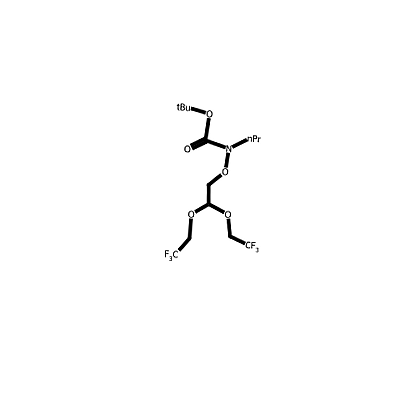 CCCN(OCC(OCC(F)(F)F)OCC(F)(F)F)C(=O)OC(C)(C)C